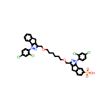 O=S(=O)(O)c1ccc2c(c1)-c1c(c(COCCCCCCOCc3nn(-c4ccc(Cl)cc4Cl)c4c3Cc3ccccc3-4)nn1-c1ccc(Cl)cc1Cl)C2